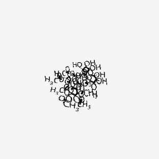 CC(=O)OC[C@H]1O[C@@](COC(C)=O)(O[C@H]2O[C@H](COC(C)=O)[C@@H](OC(C)=O)[C@H](OC(C)=O)[C@H]2OC(C)=O)[C@@H](OC(C)=O)[C@@H]1OC(C)=O.OC[C@H]1O[C@@](CO)(O[C@H]2O[C@H](CO)[C@@H](O)[C@H](O)[C@H]2O)[C@@H](O)[C@@H]1O